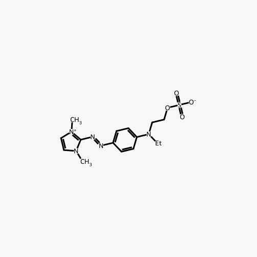 CCN(CCOS(=O)(=O)[O-])c1ccc(N=Nc2n(C)cc[n+]2C)cc1